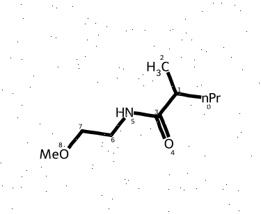 CCCC(C)C(=O)NCCOC